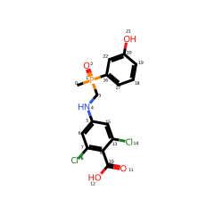 CP(=O)(CNc1cc(Cl)c(C(=O)O)c(Cl)c1)c1cccc(O)c1